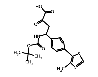 Cc1ncsc1-c1ccc(C(CC(=O)C(=O)O)NC(=O)OC(C)(C)C)cc1